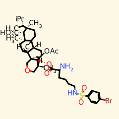 CC(=O)O[C@@H]1C[C@@]23COC[C@](C)([C@@H]2CC[C@H]2C3=CC[C@@]3(C)[C@H](C(=O)O)[C@@](C)([C@H](C)C(C)C)CC[C@]23C)[C@H]1OC(=O)C(N)CCCCNS(=O)(=O)c1ccc(Br)cc1